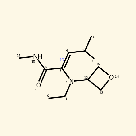 CCN(/C(=C\C(C)C)C(=O)NC)C1COC1